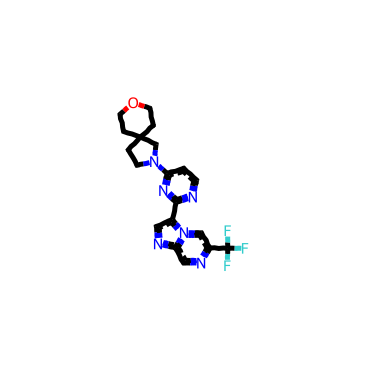 FC(F)(F)c1cn2c(-c3nccc(N4CCC5(CCOCC5)C4)n3)cnc2cn1